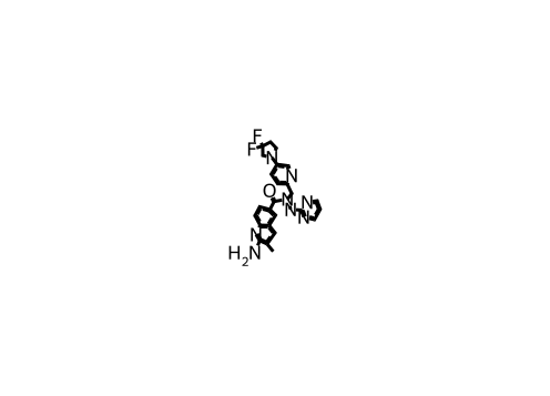 Cc1cc2cc(C(=O)N(Cc3ccc(N4CCC(F)(F)C4)cn3)N(C)c3ncccn3)ccc2nc1N